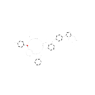 COC[C@@H]1CN(C)[C@@]2(Cc3ccc(Cl)cc3)CCCN(C[C@H](Cc3ccccc3)CCN(Cc3c(F)cc(Cl)cc3Oc3ccc(-c4cnc(CN(C)C)n4C)cc3)[C@@H](C)CN1)C2